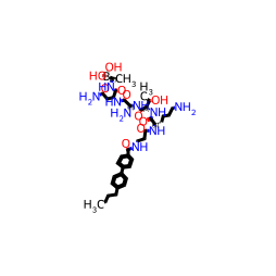 CCCCc1ccc(-c2ccc(C(=O)NCCC(=O)N[C@@H](CCCCN)C(=O)N[C@H](C(=O)N[C@@H](N)C(=O)NC(CC(N)=O)C(=O)N[C@H](C)B(O)O)C(C)O)cc2)cc1